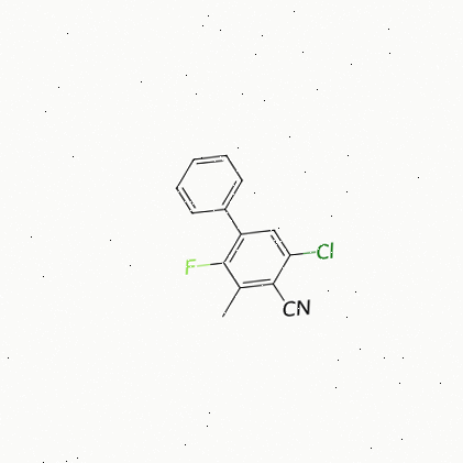 Cc1c(F)c(-c2ccccc2)cc(Cl)c1C#N